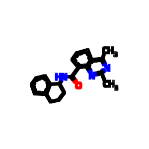 Cc1nc(C)c2cccc(C(=O)NC3CCCc4ccccc43)c2n1